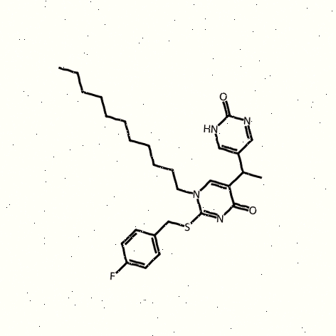 CCCCCCCCCCCn1cc(C(C)c2cnc(=O)[nH]c2)c(=O)nc1SCc1ccc(F)cc1